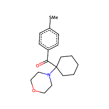 CSc1ccc(C(=O)C2(N3CCOCC3)CCCCC2)cc1